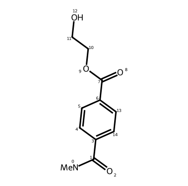 CNC(=O)c1ccc(C(=O)OCCO)cc1